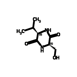 CC(C)[C@@H]1NC(=O)[C@H](CO)NC1=O